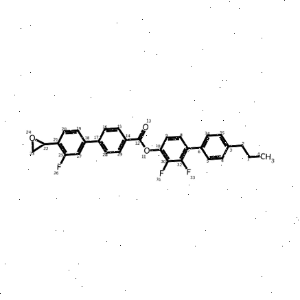 CCCc1ccc(-c2ccc(OC(=O)c3ccc(-c4ccc(C5CO5)c(F)c4)cc3)c(F)c2F)cc1